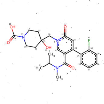 CC(C)N(C)C(=O)c1cn(CC2(O)CCN(C(=O)O)CC2)c(=O)cc1-c1ccccc1F